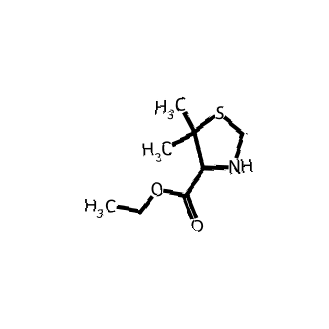 CCOC(=O)C1N[CH]SC1(C)C